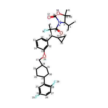 CC(C)C1N(C(=O)C(C)(F)[C@H](c2cccc(OCC3CCC(c4cc(F)ccc4F)CC3)c2)C2CC2)C(=O)OC1(C)C